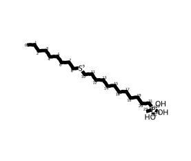 CCCCCCCCCSCCCCCCCCCCCCP(C)(O)(O)O